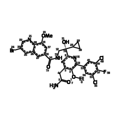 CCOc1c(CC(N)=O)cc([C@@](O)(CNC(=O)c2cc(OC)c3ncc(Br)cc3c2)C2CC2)nc1-c1cc(Cl)c(F)c(Cl)c1